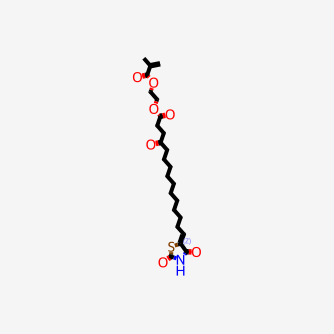 C=C(C)C(=O)OCCOC(=O)CCC(=O)CCCCCCCCCC/C=C1\SC(=O)NC1=O